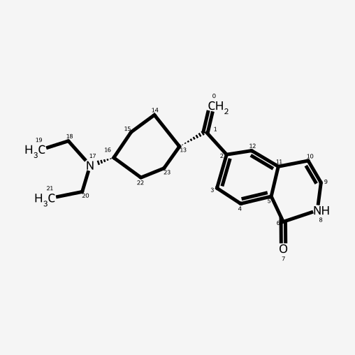 C=C(c1ccc2c(=O)[nH]ccc2c1)[C@H]1CC[C@@H](N(CC)CC)CC1